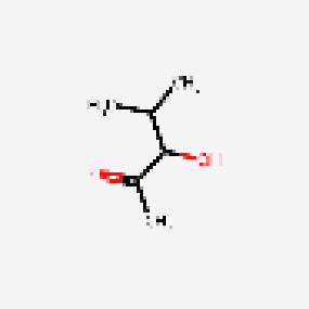 [CH2]C(C)C(O)C(C)=O